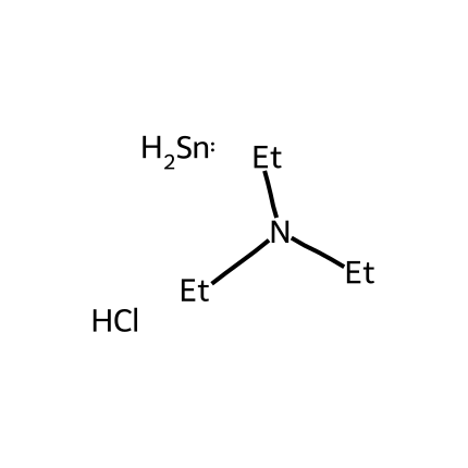 CCN(CC)CC.Cl.[SnH2]